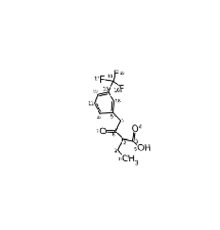 CCC(C(=O)O)C(=O)Cc1cccc(C(F)(F)F)c1